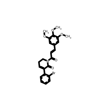 COc1cc(C=CC(=O)N2CCC=C(c3ccccc3Br)C2=O)cc(OC)c1OC